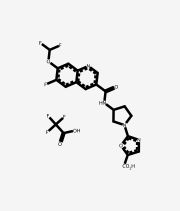 O=C(NC1CCN(c2ncc(C(=O)O)o2)C1)c1cnc2cc(OC(F)F)c(F)cc2c1.O=C(O)C(F)(F)F